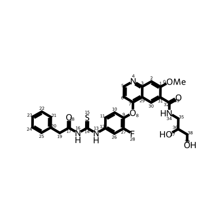 COc1cc2nccc(Oc3ccc(NC(=S)NC(=O)Cc4ccccc4)cc3F)c2cc1C(=O)NCC(O)CO